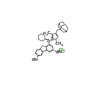 CC1=[C]([Zr+2](=[C]2CCCCC2)[c]2cc(C(C)(C)C)cc3c2Cc2ccc(C(C)(C)C)cc2-3)C(C)C=C1CC12CC3CC(CC(C3)C1)C2.[Cl-].[Cl-]